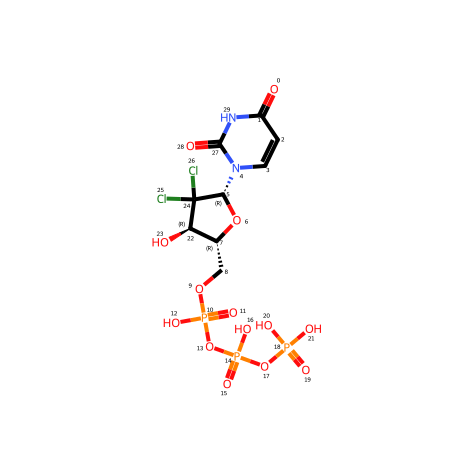 O=c1ccn([C@@H]2O[C@H](COP(=O)(O)OP(=O)(O)OP(=O)(O)O)[C@@H](O)C2(Cl)Cl)c(=O)[nH]1